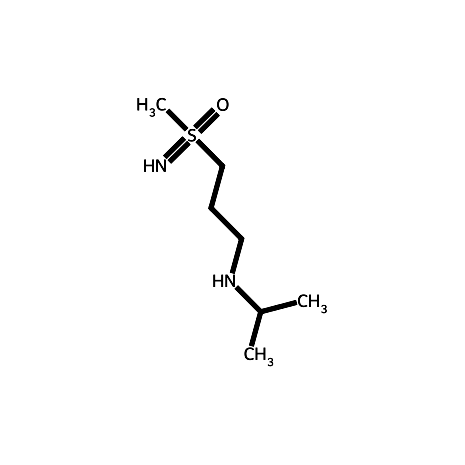 CC(C)NCCCS(C)(=N)=O